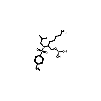 CC(C)CN(C(CCCCN)COP(O)O)S(=O)(=O)c1ccc(N)cc1